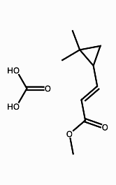 COC(=O)C=CC1CC1(C)C.O=C(O)O